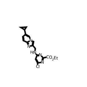 CCOC(=O)c1nc(Cl)cc(NCc2cn3cc(C4CC4)ccc3n2)n1